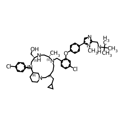 C[C@H]1CN[C@H](CO)CN[C@@]2(Cc3ccc(Cl)cc3)CCCN(C[C@H](CC3CC3)CCN1Cc1ccc(Cl)cc1Oc1ccc(-c3cnc(CNC(C)(C)C)n3C)cc1)C2